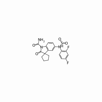 NC(=O)N1C(=O)C2(CCCC2)c2cc(N(c3ccc(F)cc3F)[SH](=O)=O)ccc21